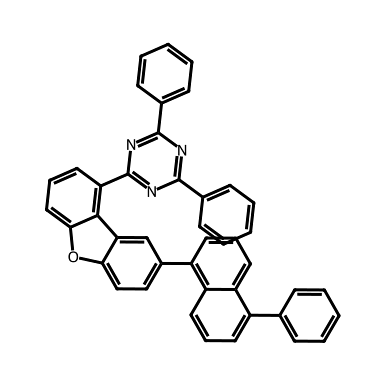 c1ccc(-c2nc(-c3ccccc3)nc(-c3cccc4oc5ccc(-c6cccc7c(-c8ccccc8)cccc67)cc5c34)n2)cc1